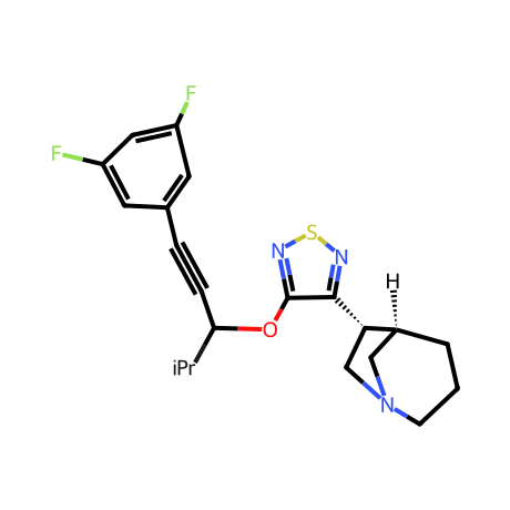 CC(C)C(C#Cc1cc(F)cc(F)c1)Oc1nsnc1[C@H]1CN2CCC[C@H]1C2